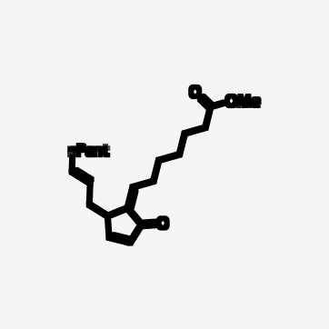 CCCCCC=CCC1C=CC(=O)C1=CCCCCCC(=O)OC